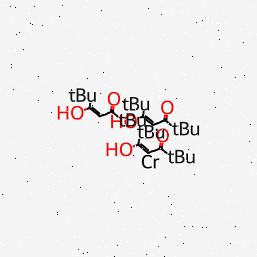 CC(C)(C)C(=O)/C=C(/O)C(C)(C)C.CC(C)(C)C(=O)/C=C(/O)C(C)(C)C.CC(C)(C)C(=O)/C=C(/O)C(C)(C)C.[Cr]